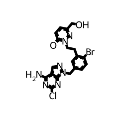 Nc1nc(Cl)nc2c1cnn2Cc1ccc(Br)c(CCn2nc(CO)ccc2=O)c1